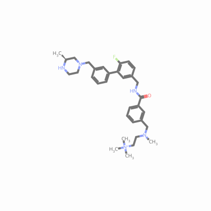 C[C@H]1CN(Cc2cccc(-c3cc(CNC(=O)c4cccc(CN(C)CC[N+](C)(C)C)c4)ccc3F)c2)CCN1